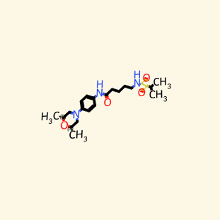 CC(C)S(=O)(=O)NCCCCC(=O)Nc1ccc(N2C[C@@H](C)O[C@@H](C)C2)cc1